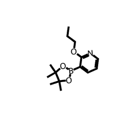 CCCOc1ncccc1B1OC(C)(C)C(C)(C)O1